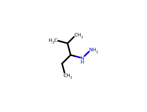 CCC(NN)C(C)C